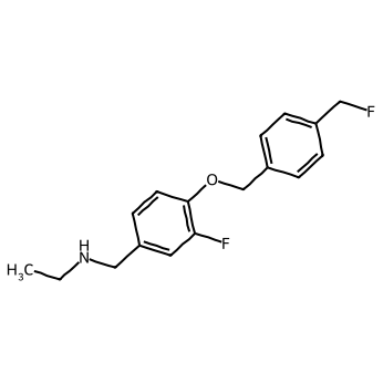 CCNCc1ccc(OCc2ccc(CF)cc2)c(F)c1